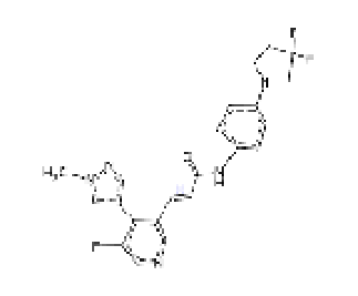 Cn1cc(-c2c(F)cncc2/C=C/C(=O)Nc2ccc(N3CCC(F)(F)C3)cc2)cn1